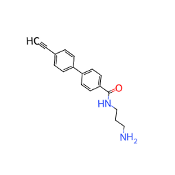 C#Cc1ccc(-c2ccc(C(=O)NCCCN)cc2)cc1